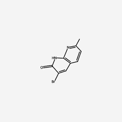 Cc1ccc2cc(Br)c(=O)[nH]c2n1